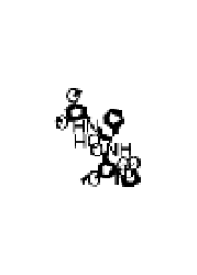 CCOc1cc(C(=O)N[C@@H](Cc2ccccc2)[C@H](O)CNCc2cc(OC)cc(OC)c2)cc(N2CCCCS2(=O)=O)c1